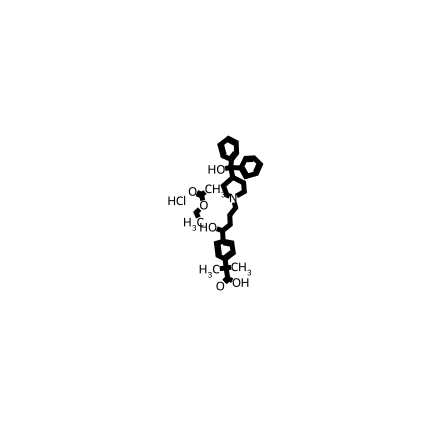 CC(C)(C(=O)O)c1ccc(C(O)CCCN2CCC(C(O)(c3ccccc3)c3ccccc3)CC2)cc1.CCOC(C)=O.Cl